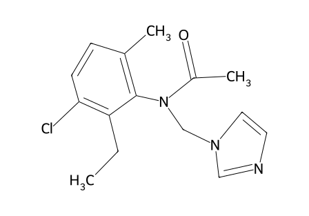 CCc1c(Cl)ccc(C)c1N(Cn1ccnc1)C(C)=O